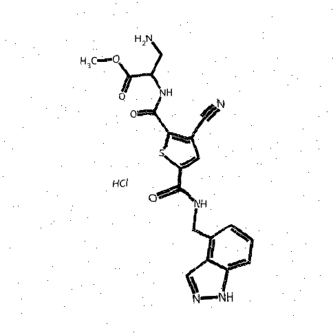 COC(=O)C(CN)NC(=O)c1sc(C(=O)NCc2cccc3[nH]ncc23)cc1C#N.Cl